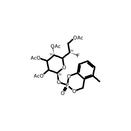 CC(=O)OC[C@H](F)C1O[C@@H](OP2(=O)OCc3c(C)cccc3O2)C(OC(C)=O)C(OC(C)=O)[C@@H]1OC(C)=O